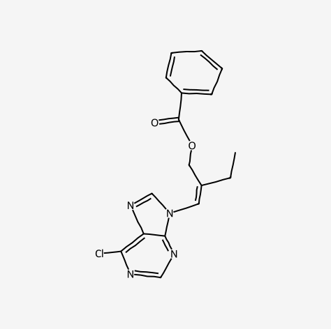 CCC(=Cn1cnc2c(Cl)ncnc21)COC(=O)c1ccccc1